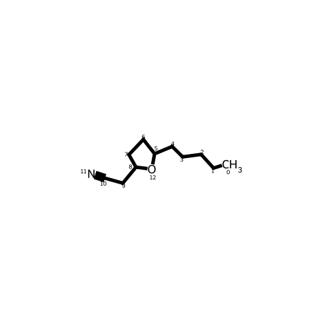 CCCCCC1CCC(CC#N)O1